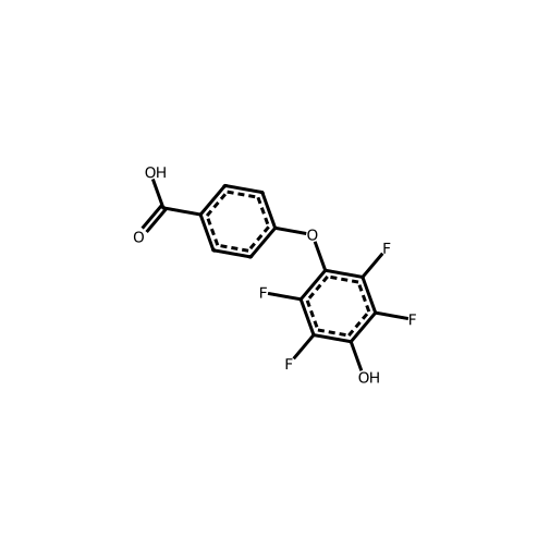 O=C(O)c1ccc(Oc2c(F)c(F)c(O)c(F)c2F)cc1